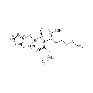 NCCCCC(C(=O)O)N(C(=O)CN)C(=O)C(N)Cc1c[nH]cn1.[Cu]